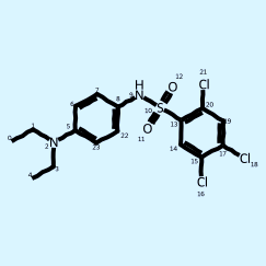 CCN(CC)c1ccc(NS(=O)(=O)c2cc(Cl)c(Cl)cc2Cl)cc1